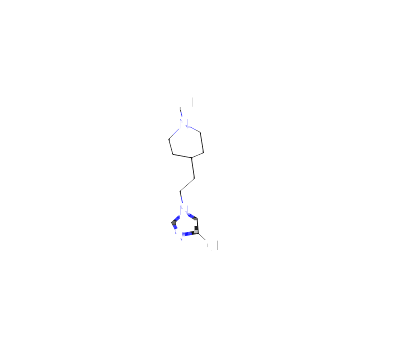 Cc1cn(CCC2CCN(C)CC2)cn1